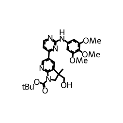 COc1cc(Nc2nccc(-c3cnc4c(c3)C(C)(CO)CN4C(=O)OC(C)(C)C)n2)cc(OC)c1OC